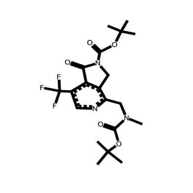 CN(Cc1ncc(C(F)(F)F)c2c1CN(C(=O)OC(C)(C)C)C2=O)C(=O)OC(C)(C)C